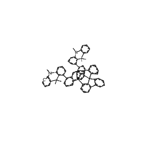 CN1c2ccccc2C(C)(C)c2c(-c3cccc4c(-c5cccc6c5C5(c7ccccc7-c7ccccc75)c5ccccc5-6)c5cccc(-c6cccc7c6C(C)(C)c6ccccc6N7C)c5cc34)cccc21